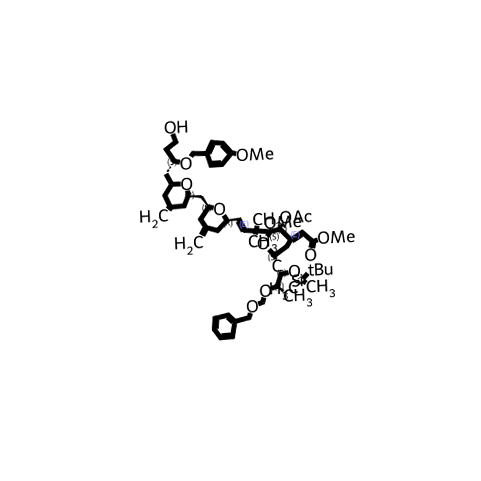 C=C1CC(C[C@H](CCO)OCc2ccc(OC)cc2)O[C@@H](C[C@@H]2CC(=C)C[C@H](/C=C/C(C)(C)[C@]3(OC)O[C@H](C[C@@H](O[Si](C)(C)C(C)(C)C)[C@@H](C)OCOCc4ccccc4)C/C(=C\C(=O)OC)[C@@H]3OC(C)=O)O2)C1